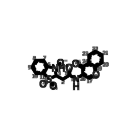 O=C(CC1[NH+]([O-])c2ccccc2S1(=O)=O)Nc1coc2ccccc2c1=O